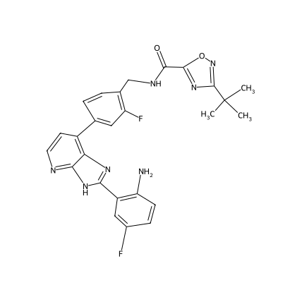 CC(C)(C)c1noc(C(=O)NCc2ccc(-c3ccnc4[nH]c(-c5cc(F)ccc5N)nc34)cc2F)n1